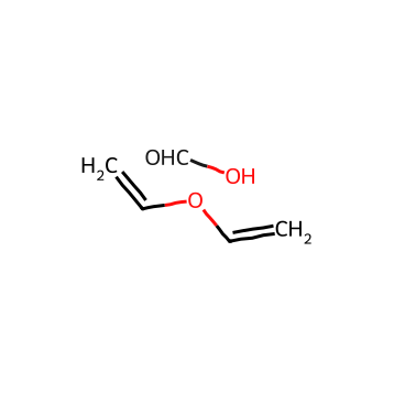 C=COC=C.O=CO